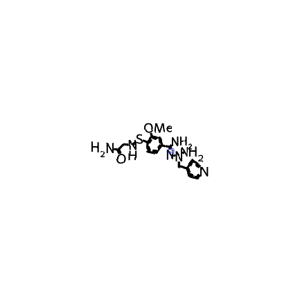 COc1cc(/C(N)=N/N(N)Cc2ccncc2)ccc1SNCC(N)=O